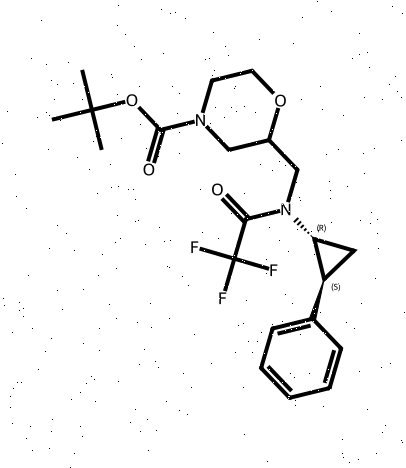 CC(C)(C)OC(=O)N1CCOC(CN(C(=O)C(F)(F)F)[C@@H]2C[C@H]2c2ccccc2)C1